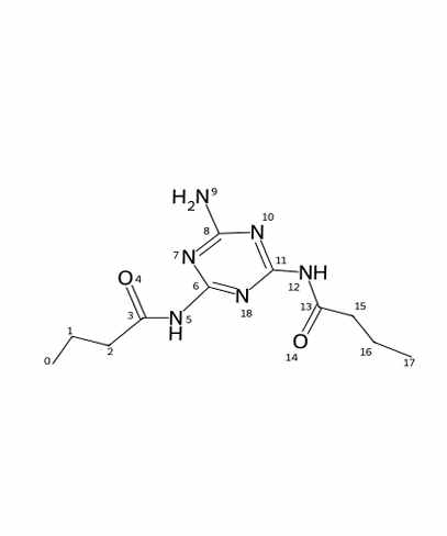 CCCC(=O)Nc1nc(N)nc(NC(=O)CCC)n1